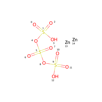 O=S(=O)(O)OS(=O)(=O)OS(=O)(=O)O.[Zn].[Zn]